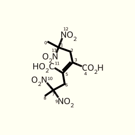 CC(CC(C(=O)O)=C(CC(C)([N+](=O)[O-])[N+](=O)[O-])C(=O)O)([N+](=O)[O-])[N+](=O)[O-]